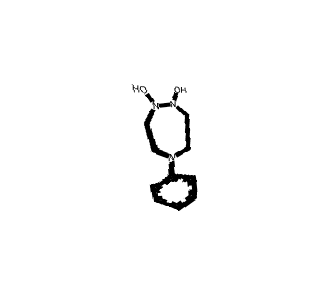 ON1CCN(c2ccccc2)CCN1O